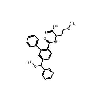 COC(c1cccnc1)c1ccc(C(=O)NC(CCSC)C(=O)O)c(-c2ccccc2)c1